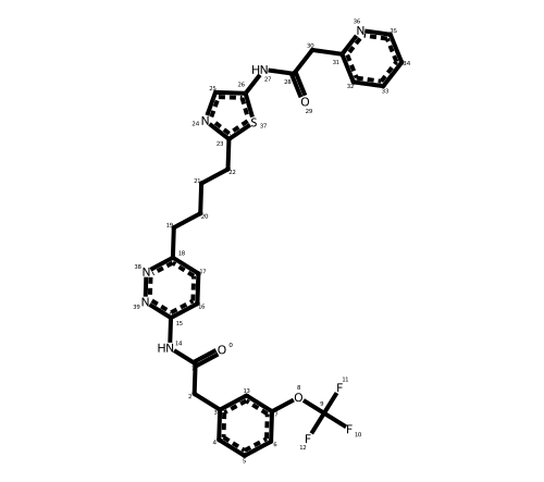 O=C(Cc1cccc(OC(F)(F)F)c1)Nc1ccc(CCCCc2ncc(NC(=O)Cc3ccccn3)s2)nn1